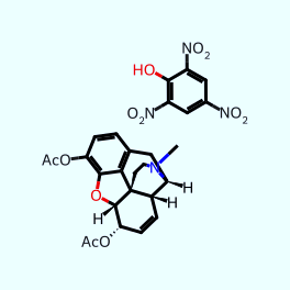 CC(=O)Oc1ccc2c3c1O[C@H]1[C@@H](OC(C)=O)C=C[C@H]4[C@@H](C2)N(C)CC[C@@]341.O=[N+]([O-])c1cc([N+](=O)[O-])c(O)c([N+](=O)[O-])c1